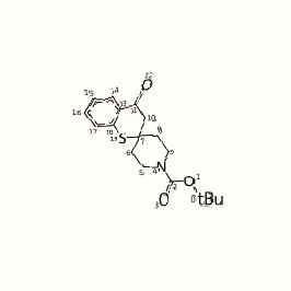 CC(C)(C)OC(=O)N1CCC2(CC1)CC(=O)c1ccccc1S2